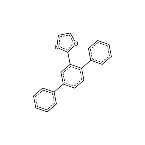 c1ccc(-c2ccc(-c3ccccc3)c(-c3ncco3)c2)cc1